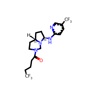 O=C(CCCC(F)(F)F)N1CC[C@@H]2CC[C@@H](Nc3ccc(C(F)(F)F)cn3)N2C1